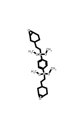 CO[Si](CCC1CCC2OC2C1)(OC)c1ccc([Si](CCC2CCC3OC3C2)(OC)OC)cc1